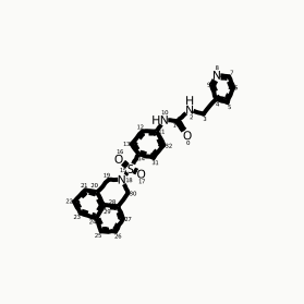 O=C(NCc1cccnc1)Nc1ccc(S(=O)(=O)N2Cc3cccc4cccc(c34)C2)cc1